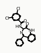 O=C(NC1N=C(c2ccccc2)c2ccccc2NC1=O)c1cc(Cl)cc(Cl)c1